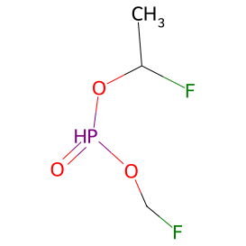 CC(F)O[PH](=O)OCF